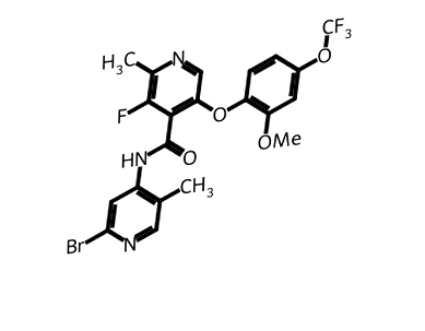 COc1cc(OC(F)(F)F)ccc1Oc1cnc(C)c(F)c1C(=O)Nc1cc(Br)ncc1C